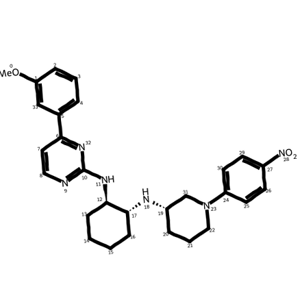 COc1cccc(-c2ccnc(N[C@@H]3CCCC[C@H]3N[C@H]3CCCN(c4ccc([N+](=O)[O-])cc4)C3)n2)c1